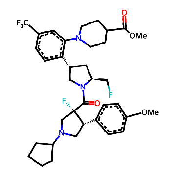 COC(=O)C1CCN(c2cc(C(F)(F)F)ccc2[C@@H]2C[C@@H](CF)N(C(=O)[C@]3(F)CN(C4CCCC4)C[C@H]3c3ccc(OC)cc3)C2)CC1